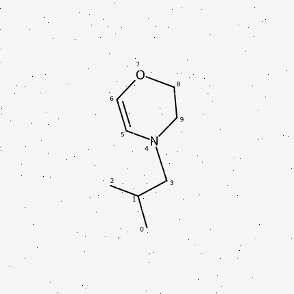 C[C](C)CN1C=COCC1